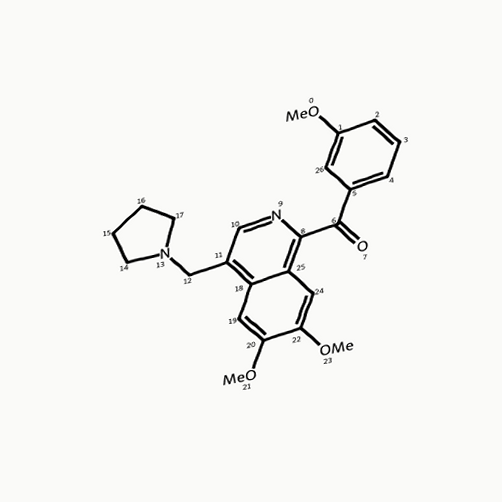 COc1cccc(C(=O)c2ncc(CN3CCCC3)c3cc(OC)c(OC)cc23)c1